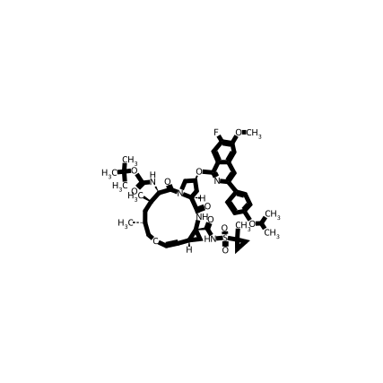 COc1cc2cc(-c3ccc(OC(C)C)cc3)nc(O[C@@H]3C[C@H]4C(=O)N[C@]5(C(=O)NS(=O)(=O)C6(C)CC6)C[C@H]5/C=C\CC[C@H](C)C[C@@H](C)[C@H](NC(=O)OC(C)(C)C)C(=O)N4C3)c2cc1F